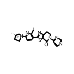 C[C@H]1CCN(c2ccc(-c3nc4c(s3)C(=O)N(c3ccncn3)CC4)c(I)n2)C1